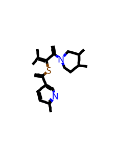 C=C(SC(C(=C)N1CCC(C)C(C)C1)=C(C)C)c1ccc(C)nc1